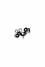 CC(C)(CC(O)(F)Cn1cc(Cl)c(=O)c2cnccc21)c1cccc2c1OCC2